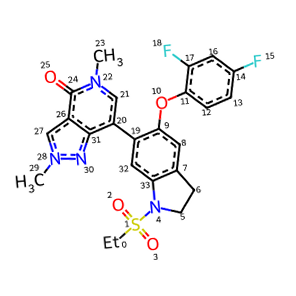 CCS(=O)(=O)N1CCc2cc(Oc3ccc(F)cc3F)c(-c3cn(C)c(=O)c4cn(C)nc34)cc21